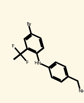 CC(F)(F)c1cc(Br)ccc1Nc1ccc(CN)cc1